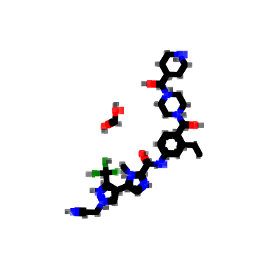 CCc1cc(NC(=O)c2ncc(-c3cn(CC#N)nc3C(F)(F)F)n2C)ccc1C(=O)N1CCN(C(=O)C2CCNCC2)CC1.O=CO